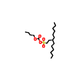 CCCCCCC(CCCCCC)CCS(=O)(=O)OC(=O)OCCCC